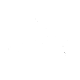 NC(=O)OCC(=CCO)COCCCO